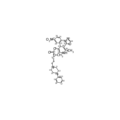 CC1=C(OC(=O)OCCCN2CCN(c3ccccc3)CC2)C(c2cccc([N+](=O)[O-])c2)C(c2nnco2)=C(C)N1